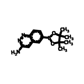 CC1(C)OB(c2ccc3nnc(N)cc3c2)OC1(C)C